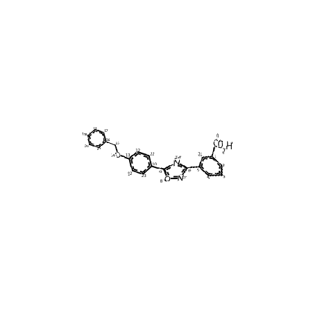 O=C(O)c1cccc(-c2noc(-c3ccc(OCc4ccccc4)cc3)n2)c1